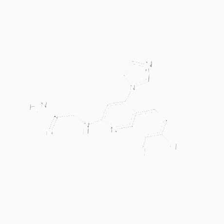 NC(=O)CNc1cc(-n2ccnc2)c2ccc(Cl)c(Cl)c2n1